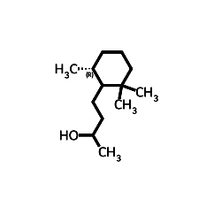 CC(O)CCC1[C@H](C)CCCC1(C)C